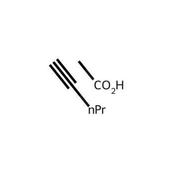 C#CCCC.CC(=O)O